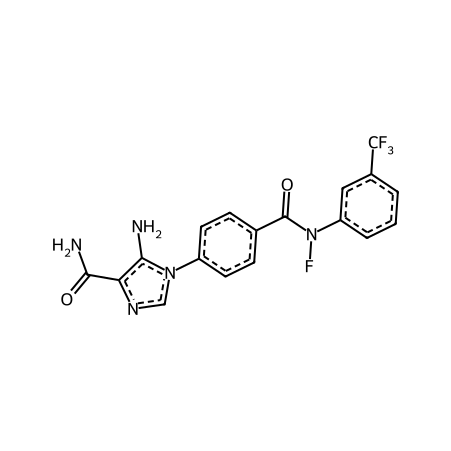 NC(=O)c1ncn(-c2ccc(C(=O)N(F)c3cccc(C(F)(F)F)c3)cc2)c1N